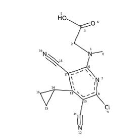 CN(CC(=O)O)c1nc(Cl)c(C#N)c(C2CC2)c1C#N